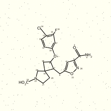 NC(=O)c1cc(CC2C(Oc3ccc(Cl)c(F)c3)CC23CCN(C(=O)O)C3)on1